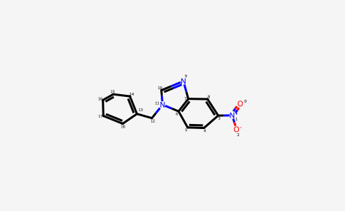 O=[N+]([O-])c1ccc2c(c1)ncn2Cc1ccccc1